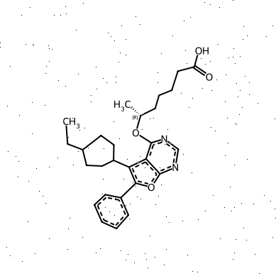 CCC1CCC(c2c(-c3ccccc3)oc3ncnc(O[C@H](C)CCCCC(=O)O)c23)CC1